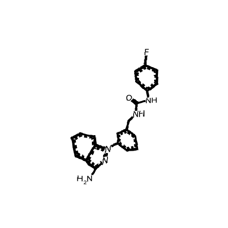 Nc1nn(-c2cccc(CNC(=O)Nc3ccc(F)cc3)c2)c2ccccc12